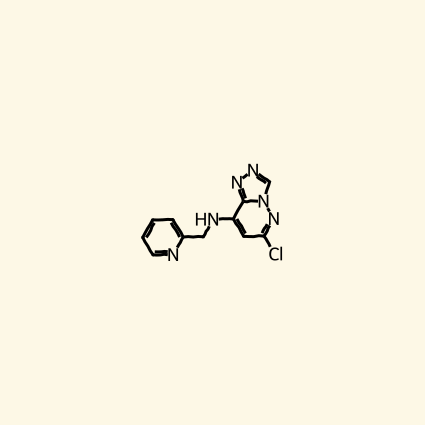 Clc1cc(NCc2ccccn2)c2nncn2n1